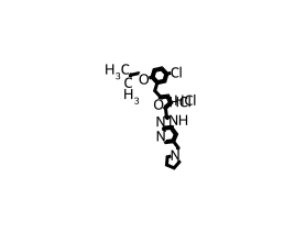 CC(C)COc1ccc(Cl)cc1Cc1ccc(-c2nc3ncc(CN4CCCC4)cc3[nH]2)o1.Cl.Cl